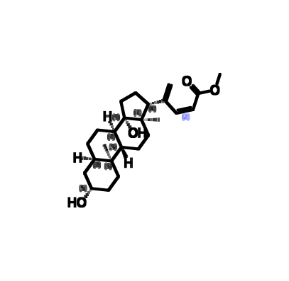 C=C(/C=C\C(=O)OC)[C@H]1CC[C@]2(O)[C@@H]3CC[C@@H]4C[C@@H](O)CC[C@]4(C)[C@H]3CC[C@]12C